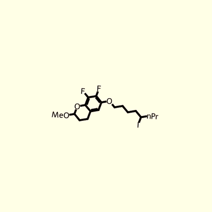 CCCC(I)CCCCOc1cc2c(c(F)c1F)OC(OC)CC2